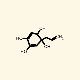 C=CCC1(O)C=C(O)C(O)=CC1O